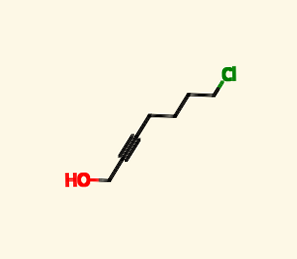 OCC#CCCCCCl